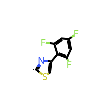 Fc1cc(F)c(-c2cs[c]n2)c(F)c1